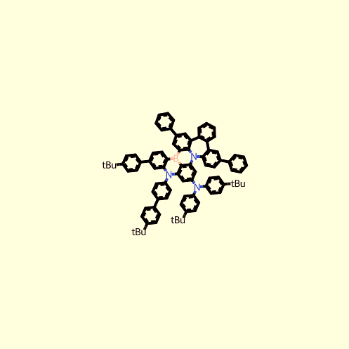 CC(C)(C)c1ccc(-c2ccc(N3c4cc(-c5ccc(C(C)(C)C)cc5)ccc4B4c5cc(-c6ccccc6)cc6c5N(c5ccc(-c7ccccc7)cc5-c5ccccc5-6)c5cc(N(c6ccc(C(C)(C)C)cc6)c6ccc(C(C)(C)C)cc6)cc3c54)cc2)cc1